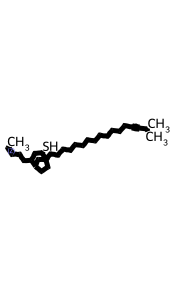 C/C=C\CCC1CC(S)C2(CCCCCCCCCCCCCC#CC(C)C)CCC1C2